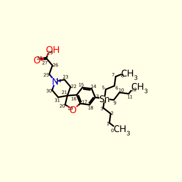 CCC[CH2][Sn]([CH2]CCC)([CH2]CCC)[c]1ccc2c(c1)OCC21CCN(CCC(=O)O)CC1